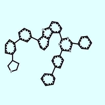 c1ccc(-c2ccc(-c3nc(-c4ccccc4)nc(-c4cccc5oc6c(-c7cccc(-c8cccc(C9CCSC9)c8)c7)cccc6c45)n3)cc2)cc1